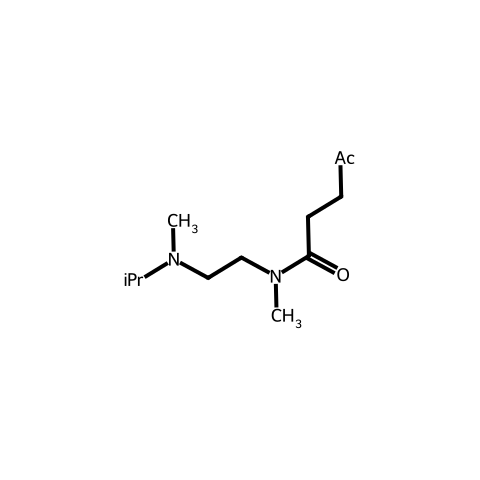 CC(=O)CCC(=O)N(C)CCN(C)C(C)C